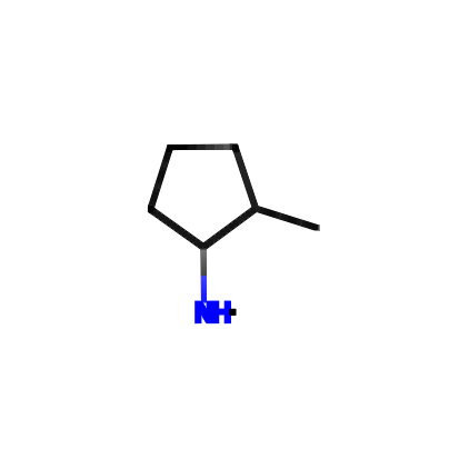 CC1CCCC1[NH]